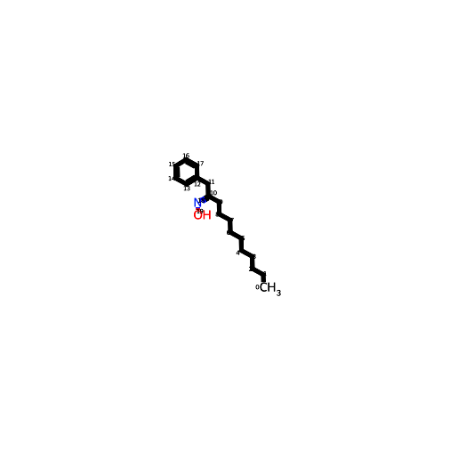 CCCCCCCCCCC(Cc1ccccc1)=NO